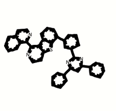 c1ccc(-c2cc(-c3ccccc3)nc(-c3cccc(-c4cccc5c4sc4ccnc(-c6nccc7ccccc67)c45)c3)n2)cc1